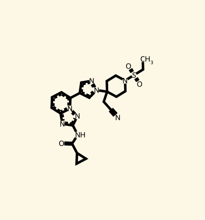 CCS(=O)(=O)N1CCC(CC#N)(n2cc(-c3cccc4nc(NC(=O)C5CC5)nn34)cn2)CC1